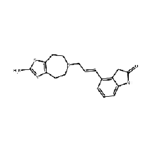 Nc1nc2c(s1)CCN(CC=Cc1cccc3c1CC(=O)N3)CC2